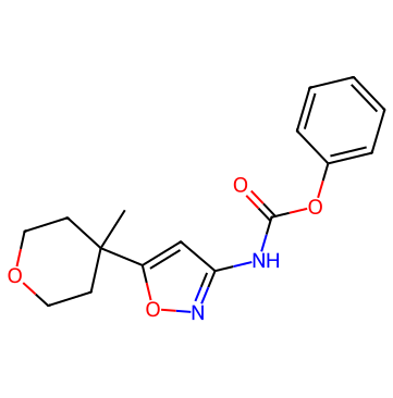 CC1(c2cc(NC(=O)Oc3ccccc3)no2)CCOCC1